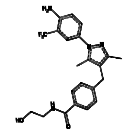 Cc1nn(-c2ccc(N)c(C(F)(F)F)c2)c(C)c1Cc1ccc(C(=O)NCCO)cc1